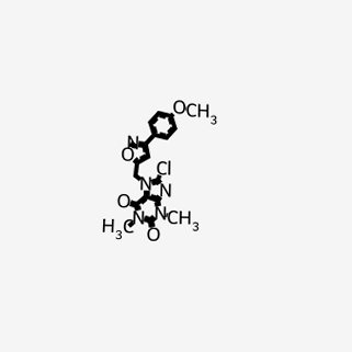 COc1ccc(-c2cc(Cn3c(Cl)nc4c3c(=O)n(C)c(=O)n4C)on2)cc1